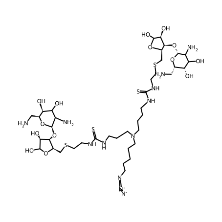 [N-]=[N+]=NCCCCCN(CCCCNC(=S)NCCSC[C@H]1OC(O)[C@@H](O)[C@H]1O[C@H]1O[C@@H](CN)[C@@H](O)C(O)C1N)CCCNC(=S)NCCSC[C@H]1OC(O)[C@@H](O)[C@H]1O[C@H]1O[C@@H](CN)[C@@H](O)C(O)C1N